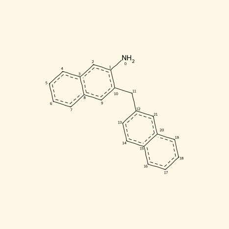 Nc1cc2ccccc2cc1Cc1ccc2ccccc2c1